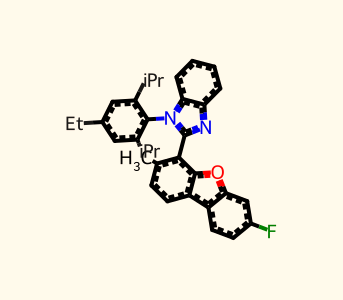 CCc1cc(C(C)C)c(-n2c(-c3c(C)ccc4c3oc3cc(F)ccc34)nc3ccccc32)c(C(C)C)c1